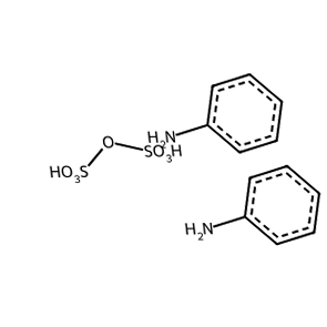 Nc1ccccc1.Nc1ccccc1.O=S(=O)(O)OS(=O)(=O)O